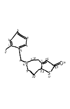 Cc1ccccc1CN1CCC2SC(=O)C=C2C1